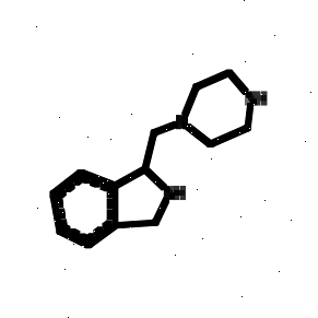 c1ccc2c(c1)CNC2CN1CCNCC1